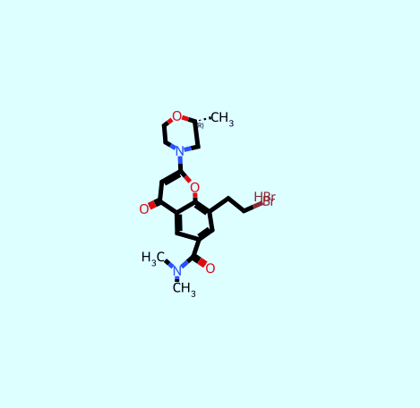 Br.C[C@@H]1CN(c2cc(=O)c3cc(C(=O)N(C)C)cc(CCBr)c3o2)CCO1